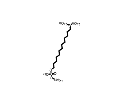 CCCCCCCCCOP(=O)(O)OCCCCCCCCCCCCCN(CCCCCCCC)CCCCCCCC